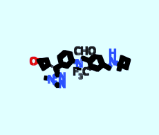 CN(Cc1c(C=O)cc(CNC2(C)CCC2)cc1C(F)(F)F)c1cccc([C@H](c2nncn2C)C2CC(=O)C2)c1